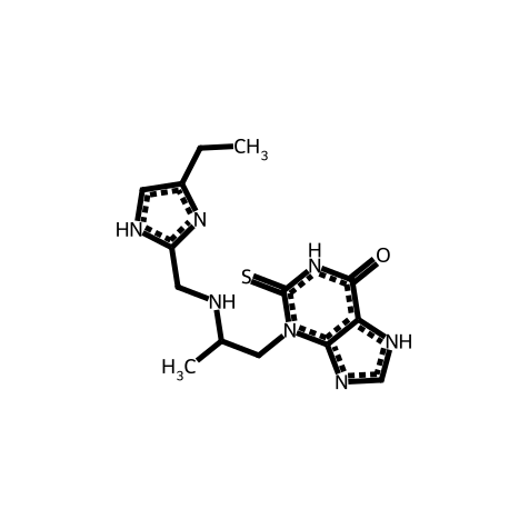 CCc1c[nH]c(CNC(C)Cn2c(=S)[nH]c(=O)c3[nH]cnc32)n1